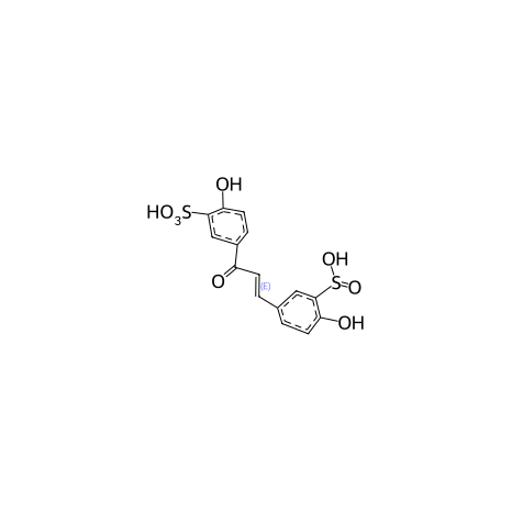 O=C(/C=C/c1ccc(O)c(S(=O)O)c1)c1ccc(O)c(S(=O)(=O)O)c1